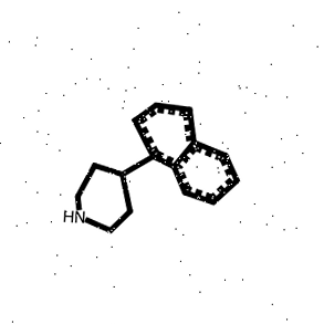 c1ccc2c([C]3CCNCC3)cccc2c1